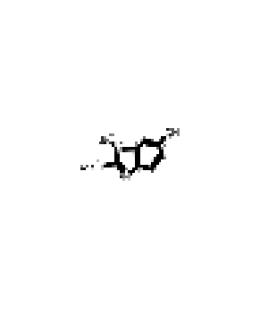 COc1nc2ccc(O)cc2n1C(C)(C)C